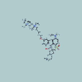 CCCCC1(CCCC)CS(=O)(=O)c2ccc(N(C)C)cc2[C@@H](c2ccc(OCCCCC[N+](C)(C)CC[N+](C)(C)CC)cc2)[C@H]1O